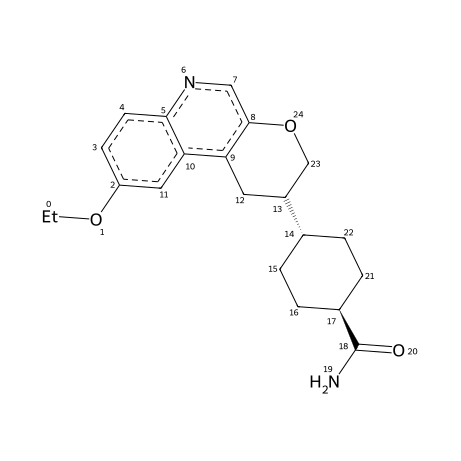 CCOc1ccc2ncc3c(c2c1)CC([C@H]1CC[C@H](C(N)=O)CC1)CO3